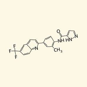 Cc1cc(-c2ccc3cc(C(F)(F)F)ccc3n2)ccc1NC(=O)c1ccn[nH]1